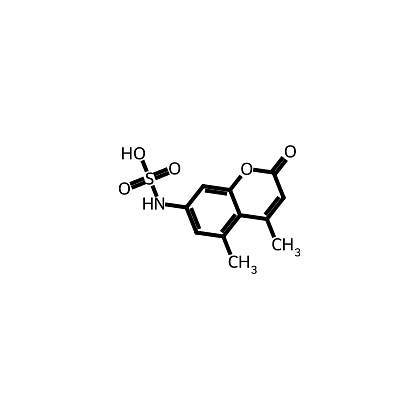 Cc1cc(NS(=O)(=O)O)cc2oc(=O)cc(C)c12